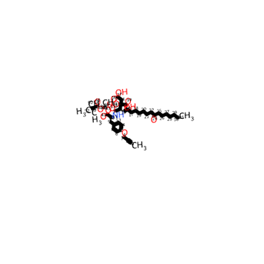 CC#CCOc1ccc(C[C@H](NC(=O)[C@@H](C=CCCCCCCC(=O)CCCCCCC)[C@@](O)(CC(=O)O)C(=O)O)C(=O)OC(C)OC(=O)C(C)(C)C)cc1